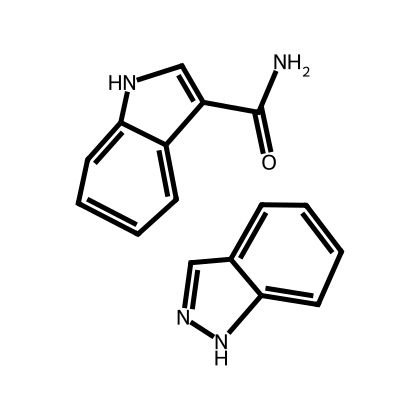 NC(=O)c1c[nH]c2ccccc12.c1ccc2[nH]ncc2c1